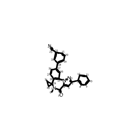 CN1C(=O)c2cc(-c3ccccc3)nn2-c2cc(-c3cccc(C#N)c3)ccc2C12CC2